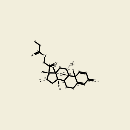 CCC(=O)OCC(=O)[C@@]1(C)[C@@H](C)C[C@H]2C3CCC4=CC(=O)C=CC4(C)[C@@]3(Cl)[C@@H](O)CC21C